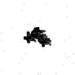 CC(C)(C)C(=O)[O-].CC(C)(C)C(=O)[O-].CC(C)(C)C(=O)[O-].[Zr+3][CH]1CCC2CC=CC=C12